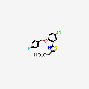 O=C(O)Cc1csc(-c2cc(Cl)ccc2OCc2ccc(F)cc2)n1